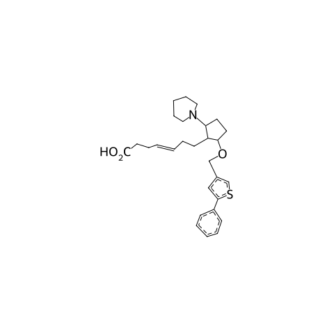 O=C(O)CC/C=C/CCC1C(OCc2csc(-c3ccccc3)c2)CCC1N1CCCCC1